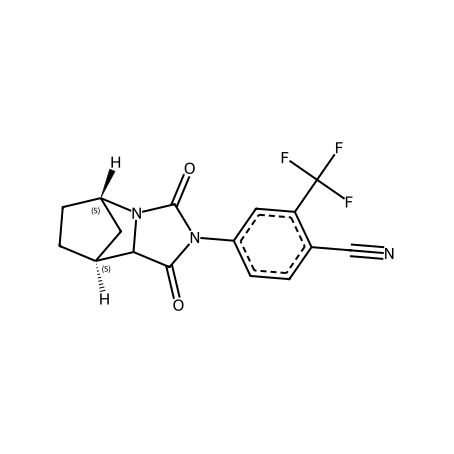 N#Cc1ccc(N2C(=O)C3[C@H]4CC[C@@H](C4)N3C2=O)cc1C(F)(F)F